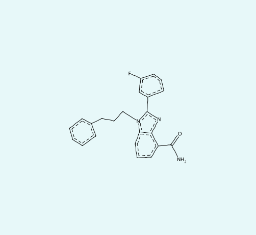 NC(=O)c1cccc2c1nc(-c1cccc(F)c1)n2CCCc1ccccc1